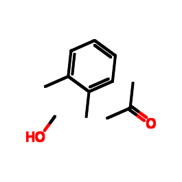 CC(C)=O.CO.Cc1ccccc1C